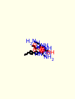 CCCCc1ccc(-c2ccc(C(=O)N[C@@H](CCN)C(=O)N[C@H](C(=O)N[C@@H](C)C(=O)N[C@@H](CCCCN)C(=O)N[C@@H](C)C(=O)C3OC3C)[C@@H](C)O)cc2)cc1